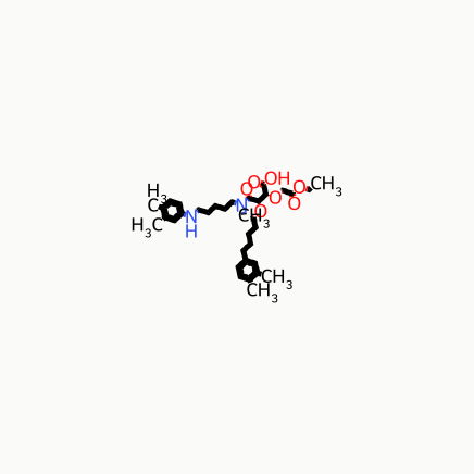 CCOC(=O)CO[C@@H](C(=O)O)[C@@H](OCCCCCc1ccc(C)c(C)c1)C(=O)N(C)CCCCCNc1ccc(C)c(C)c1